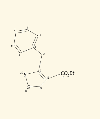 CCOC(=O)C1=C(Cc2ccccc2)SSC1